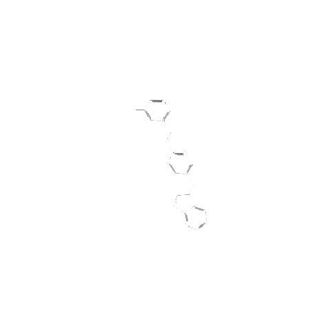 FC(F)(F)c1cccc(COc2ccc(CC3CNc4ncccc43)cn2)c1